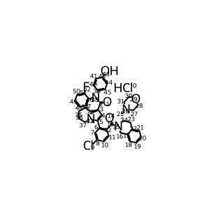 Cl.O=C(c1cc(-c2cc(Cl)ccc2C(=O)N2Cc3ccccc3C[C@H]2CN2CCOCC2)n2c1CCCC2)N(c1ccc(O)cc1)c1ccccc1F